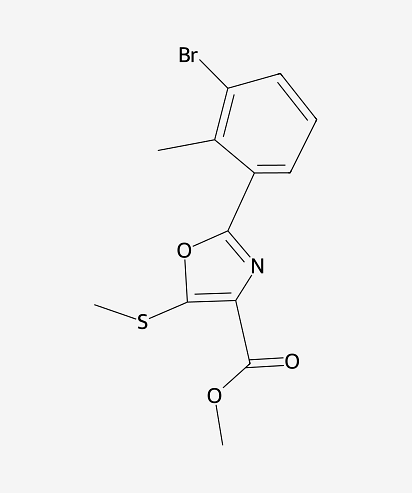 COC(=O)c1nc(-c2cccc(Br)c2C)oc1SC